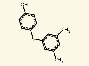 Cc1cc(C)cc(Sc2ccc(O)cc2)c1